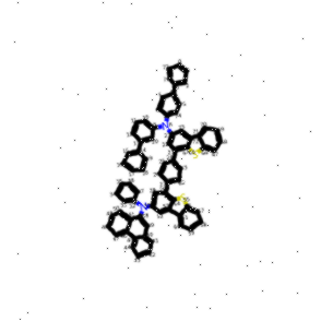 c1ccc(-c2ccc(N(c3cccc(-c4ccccc4)c3)c3cc(-c4ccc(-c5cc(N(c6ccccc6)c6cc7ccccc7c7ccccc67)cc6c5sc5ccccc56)cc4)c4sc5ccccc5c4c3)cc2)cc1